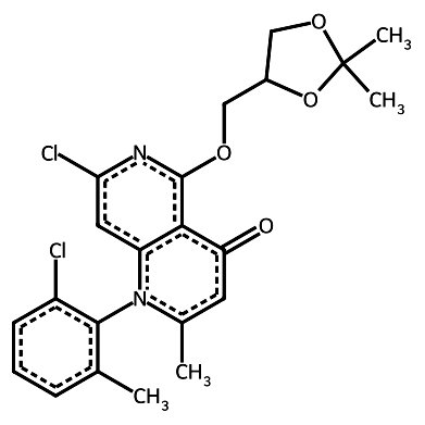 Cc1cccc(Cl)c1-n1c(C)cc(=O)c2c(OCC3COC(C)(C)O3)nc(Cl)cc21